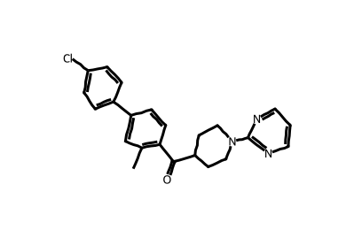 Cc1cc(-c2ccc(Cl)cc2)ccc1C(=O)C1CCN(c2ncccn2)CC1